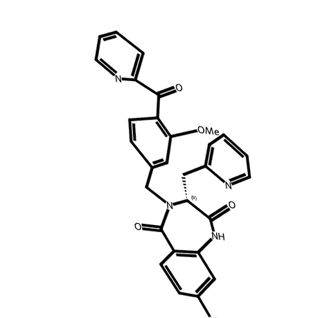 COc1cc(CN2C(=O)c3ccc(Cl)cc3NC(=O)[C@H]2Cc2ccccn2)ccc1C(=O)c1ccccn1